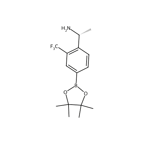 C[C@@H](N)c1ccc(B2OC(C)(C)C(C)(C)O2)cc1C(F)(F)F